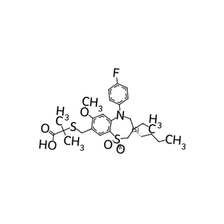 CCCC[C@@]1(CC)CN(c2ccc(F)cc2)c2cc(OC)c(CSC(C)(C)C(=O)O)cc2S(=O)(=O)C1